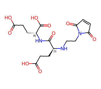 O=C(O)CC[C@H](NCCN1C(=O)C=CC1=O)C(=O)N[C@H](CCC(=O)O)C(=O)O